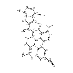 COc1ccc(-c2cccc(C#N)c2)cc1CN(C(=O)c1sc2c(F)ccc(F)c2c1Cl)C1CCC(N(C)Cl)CC1